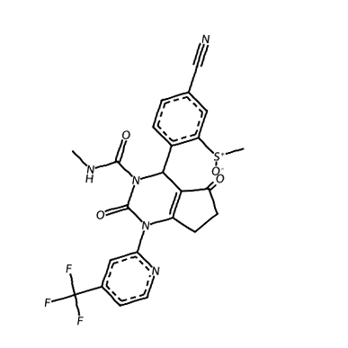 CNC(=O)N1C(=O)N(c2cc(C(F)(F)F)ccn2)C2=C(C(=O)CC2)C1c1ccc(C#N)cc1[S+](C)[O-]